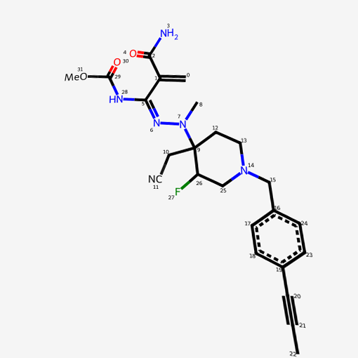 C=C(C(N)=O)/C(=N\N(C)C1(CC#N)CCN(Cc2ccc(C#CC)cc2)CC1F)NC(=O)OC